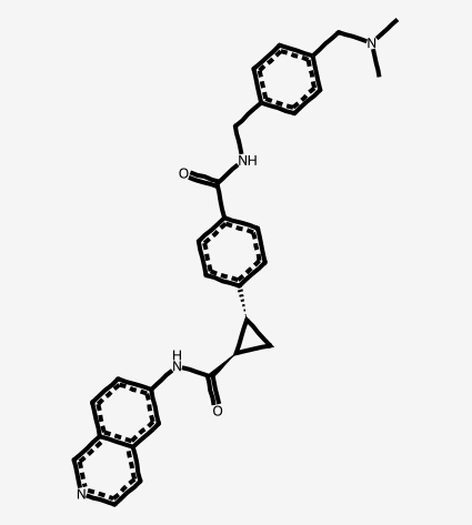 CN(C)Cc1ccc(CNC(=O)c2ccc([C@@H]3C[C@H]3C(=O)Nc3ccc4cnccc4c3)cc2)cc1